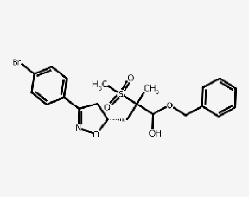 CC(C[C@H]1CC(c2ccc(Br)cc2)=NO1)(C(O)OCc1ccccc1)S(C)(=O)=O